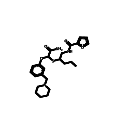 CCCC(CNC(=O)c1ccco1)SC(Oc1cccc(CN2CCCCC2)c1)C(N)=O